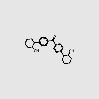 O=C(c1ccc(C2CCCCC2O)cc1)c1ccc(C2CCCCC2O)cc1